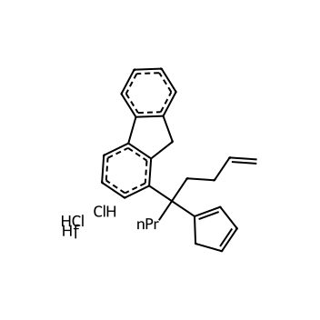 C=CCCC(CCC)(C1=CC=CC1)c1cccc2c1Cc1ccccc1-2.Cl.Cl.[Hf]